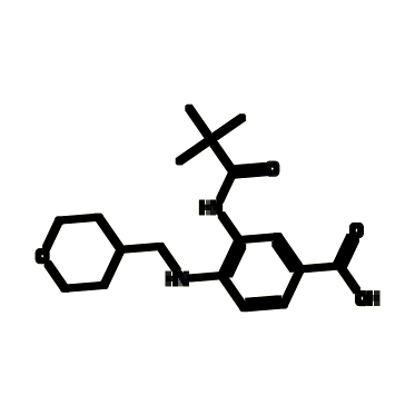 CC(C)(C)C(=O)Nc1cc(C(=O)O)ccc1NCC1CCOCC1